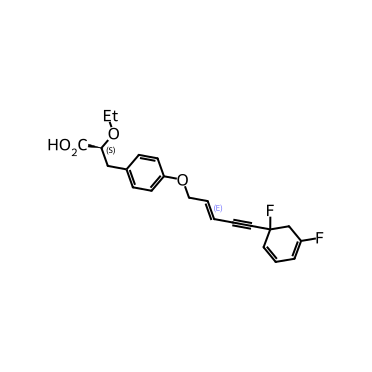 CCO[C@@H](Cc1ccc(OC/C=C/C#CC2(F)C=CC=C(F)C2)cc1)C(=O)O